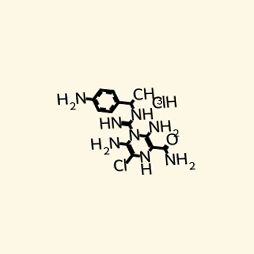 CC(NC(=N)N1C(N)=C(Cl)NC(C(N)=O)=C1N)c1ccc(N)cc1.Cl